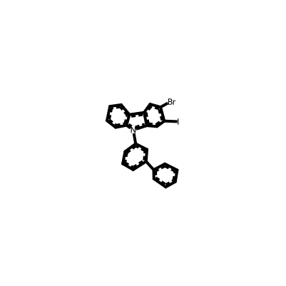 Brc1cc2c3ccccc3n(-c3cccc(-c4ccccc4)c3)c2cc1I